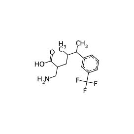 CC(CC(CN)C(=O)O)C(C)c1cccc(C(F)(F)F)c1